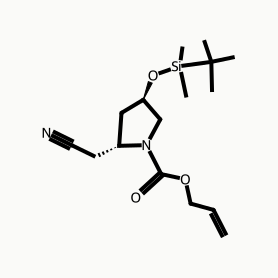 C=CCOC(=O)N1C[C@H](O[Si](C)(C)C(C)(C)C)C[C@H]1CC#N